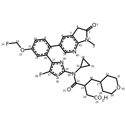 CN1C(=O)Cc2cc(-c3ccc(OCF)cc3-c3nc(N(C(=O)C(CC(=O)O)CC4CCOCC4)C4CC4)sc3F)cnc21